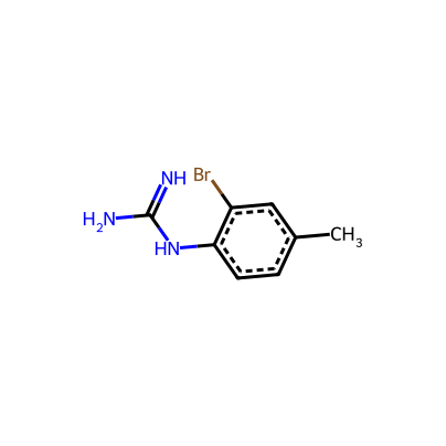 Cc1ccc(NC(=N)N)c(Br)c1